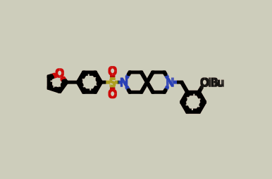 CC(C)COc1ccccc1CN1CCC2(CC1)CCN(S(=O)(=O)c1ccc(-c3ccco3)cc1)CC2